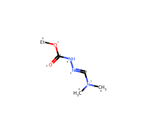 CCOC(=O)NN=CN(C)C